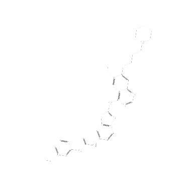 COc1cccc(NC(=O)Nc2ccc3nc(Nc4ncnc5cc(OCCCN6CCOCC6)c(OC)cc45)sc3c2)c1